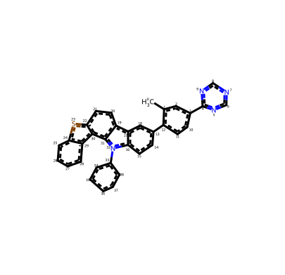 Cc1cc(-c2ncncn2)ccc1-c1ccc2c(c1)c1ccc3sc4ccccc4c3c1n2-c1ccccc1